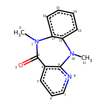 CN1C(=O)c2cccnc2N(C)c2ccccc21